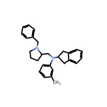 Cc1cccc(N(CC2CCCN2Cc2ccccc2)C2Cc3ccccc3C2)c1